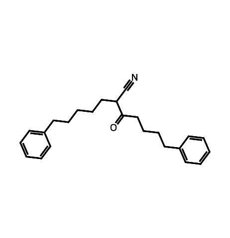 N#CC(CCCCCc1ccccc1)C(=O)CCCCc1ccccc1